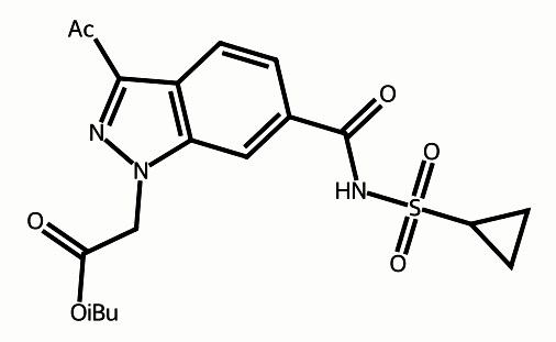 CC(=O)c1nn(CC(=O)OCC(C)C)c2cc(C(=O)NS(=O)(=O)C3CC3)ccc12